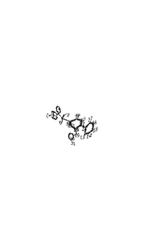 CCOC(=O)C(C)(C)c1ccc(-c2ccccc2)c(COC)c1